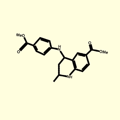 COC(=O)c1ccc(NC2CC(C)Nc3ccc(C(=O)OC)cc32)cc1